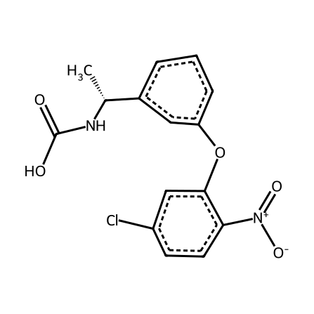 C[C@@H](NC(=O)O)c1cccc(Oc2cc(Cl)ccc2[N+](=O)[O-])c1